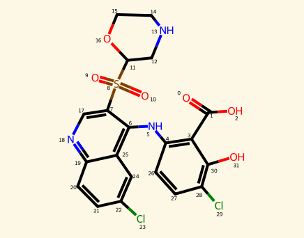 O=C(O)c1c(Nc2c(S(=O)(=O)C3CNCCO3)cnc3ccc(Cl)cc23)ccc(Cl)c1O